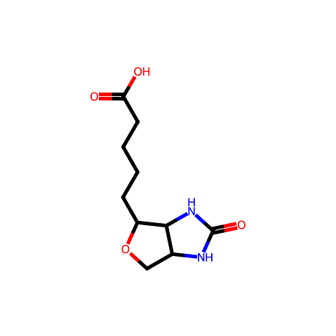 O=C(O)CCCCC1OCC2NC(=O)NC21